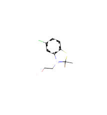 CC1(Br)Sc2ccc(Cl)cc2N1CCO